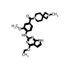 CCOc1nc(Nc2ccc(C(=O)N3CCC4(CC3)CN(C)C4)cc2OC)nc2[nH]ccc12